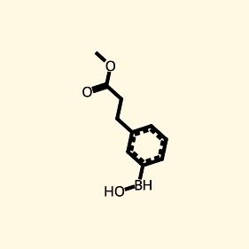 COC(=O)CCc1cccc(BO)c1